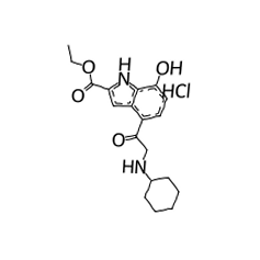 CCOC(=O)c1cc2c(C(=O)CNC3CCCCC3)ccc(O)c2[nH]1.Cl